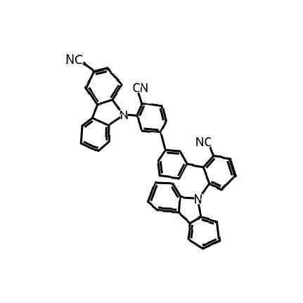 N#Cc1ccc2c(c1)c1ccccc1n2-c1cc(-c2cccc(-c3c(C#N)cccc3-n3c4ccccc4c4ccccc43)c2)ccc1C#N